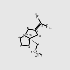 CC(C)OC[C@]12CCCN1CC(=C(F)F)C2